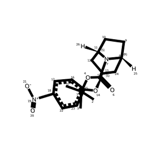 CC(C)(C)OC(=O)N1[C@@H]2CC[C@H]1C[C@H](Oc1ccc([N+](=O)[O-])cc1)C2